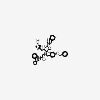 O=C(CN(Cc1ccc(OCc2ccccc2)cc1)C(=O)C(Cc1c[nH]cn1)NC(=O)NCc1ccccc1)NCC1(c2ccccc2)CCC1